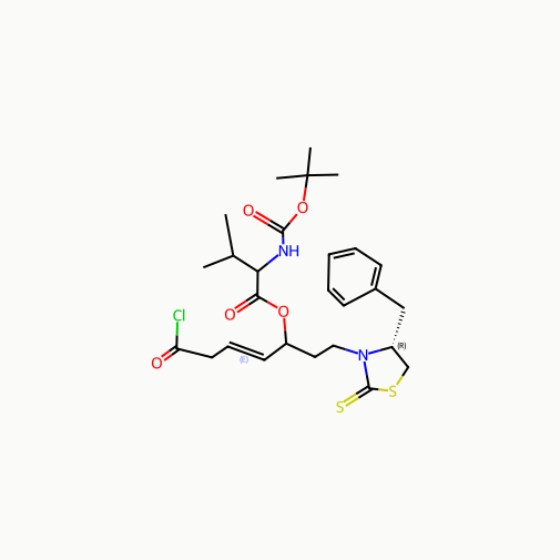 CC(C)C(NC(=O)OC(C)(C)C)C(=O)OC(/C=C/CC(=O)Cl)CCN1C(=S)SC[C@H]1Cc1ccccc1